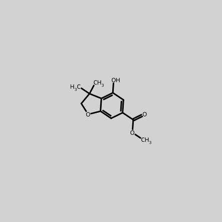 COC(=O)c1cc(O)c2c(c1)OCC2(C)C